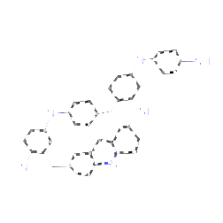 Nc1ccc(Nc2ccc(Cc3ccc(Nc4ccc(N)c(Cc5ccc6nc7ccc(N)cc7cc6c5)c4)cc3)cc2)cc1